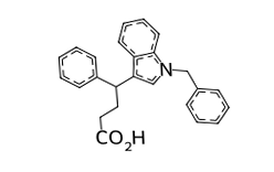 O=C(O)CCC(c1ccccc1)c1cn(Cc2ccccc2)c2ccccc12